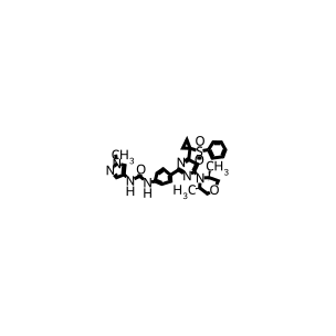 C[C@H]1COC[C@H](C)N1c1cc(C2(S(=O)(=O)c3ccccc3)CC2)nc(-c2ccc(NC(=O)Nc3cnn(C)c3)cc2)n1